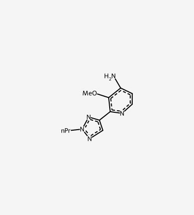 CCCn1ncc(-c2nccc(N)c2OC)n1